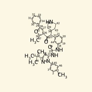 Cc1ccc(-n2nc(C(C)(C)C)cc2NC(=O)Nc2cccc(C(C(=O)c3cc(-c4ccccc4)oc3C)C3CCNCC3)c2)cc1